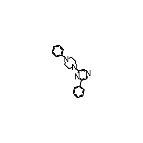 c1ccc(-c2cncc(N3CCN(c4ccccc4)CC3)n2)cc1